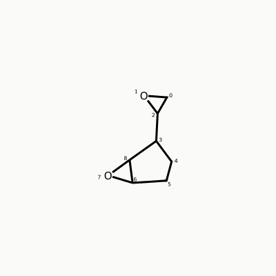 C1OC1C1CCC2OC21